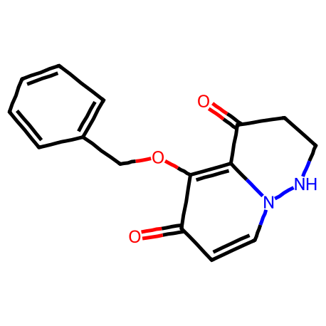 O=C1CCNn2ccc(=O)c(OCc3ccccc3)c21